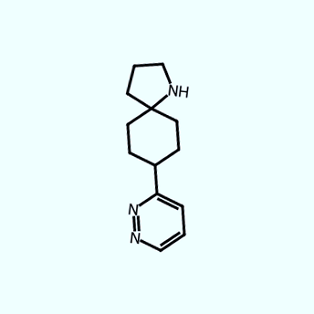 c1cnnc(C2CCC3(CCCN3)CC2)c1